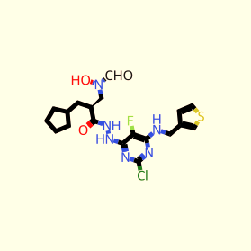 O=CN(O)C[C@H](CC1CCCC1)C(=O)NNc1nc(Cl)nc(NCc2ccsc2)c1F